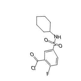 O=C(Cl)c1cc(S(=O)(=O)NC2CCCCC2)ccc1F